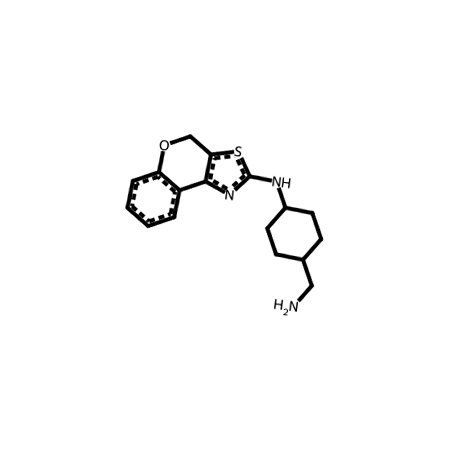 NCC1CCC(Nc2nc3c(s2)COc2ccccc2-3)CC1